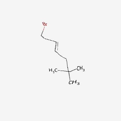 CC(C)(C)C/C=C/CBr